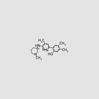 Cc1cc(O)c(-c2cc(C)c(N[C@@H]3CCCN(C)C3)nn2)cc1C